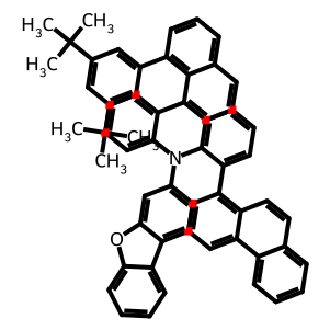 CC(C)(C)c1cc(-c2cccc3cccc(-c4ccccc4N(c4ccc5c(c4)oc4ccccc45)c4ccccc4-c4cccc5c4ccc4ccccc45)c23)cc(C(C)(C)C)c1